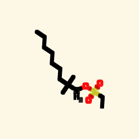 CCCCCCCC(C)(C)[SiH2]OS(=O)(=O)CC